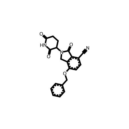 N#Cc1ccc(OCc2ccccc2)c2c1C(=O)N(C1CCC(=O)NC1=O)C2